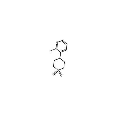 O=S1(=O)CCC(c2cccnc2F)CC1